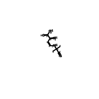 CC(C)(C#N)N/C=C\C(=N)C(=O)O